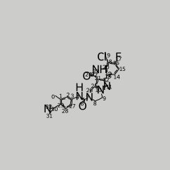 Cc1cc(NC(=O)N2CCn3nc(-c4ccc(F)c(Cl)c4)c(C(N)=O)c3C2)ccc1C1C=N1